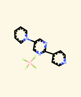 F[B-](F)(F)F.c1cc[n+](-c2cnc(-c3ccncc3)nc2)cc1